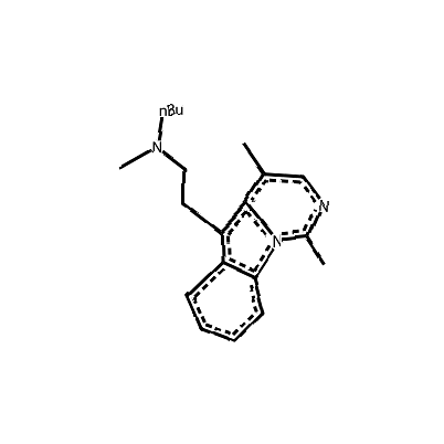 CCCCN(C)CCc1c2ccccc2n2c(C)ncc(C)c12